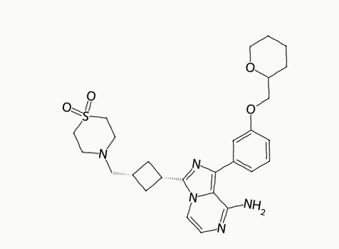 Nc1nccn2c1c(-c1cccc(OCC3CCCCO3)c1)nc2[C@H]1C[C@@H](CN2CCS(=O)(=O)CC2)C1